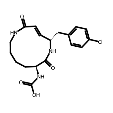 O=C(O)N[C@H]1CCCCNC(=O)/C=C/[C@H](Cc2ccc(Cl)cc2)NC1=O